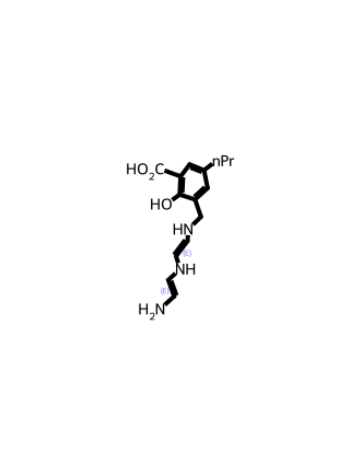 CCCc1cc(CN/C=C/N/C=C/N)c(O)c(C(=O)O)c1